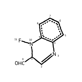 O=CC1C=Nc2ccccc2N1F